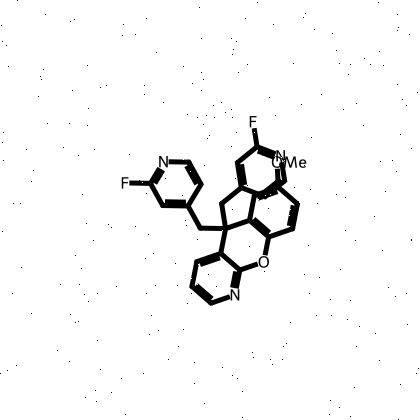 COc1ccc2c(c1)C(Cc1ccnc(F)c1)(Cc1ccnc(F)c1)c1cccnc1O2